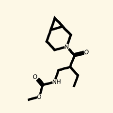 CCC(CNC(=O)OC)C(=O)N1CCC2CC2C1